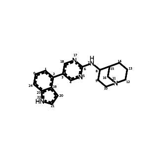 c1cc(-c2cnc(NC3CCN4CCCC3C4)nc2)c2cc[nH]c2c1